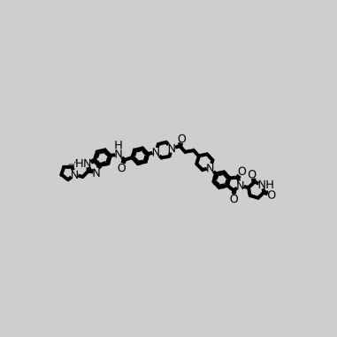 C[C@H]1CCCN1Cc1nc2cc(NC(=O)c3ccc(N4CCN(C(=O)CCC5CCN(c6ccc7c(c6)C(=O)N(C6CCC(=O)NC6=O)C7=O)CC5)CC4)cc3)ccc2[nH]1